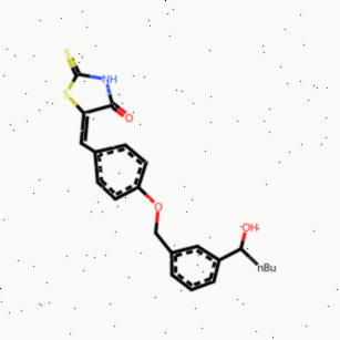 CCCCC(O)c1cccc(COc2ccc(C=C3SC(=S)NC3=O)cc2)c1